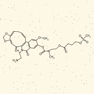 C=C1/C=C2/OCO/C2=C/C/C=C\c2c1n(CCN)c(=O)c1cc(OC(=O)N(C)CCOC(=O)CCCOS(C)(=O)=O)c(OC)cc21